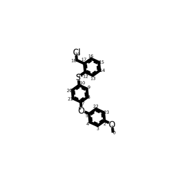 COc1ccc(Oc2ccc(Sc3ccccc3CCl)cc2)cc1